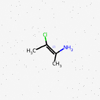 C/C(N)=C(\C)Cl